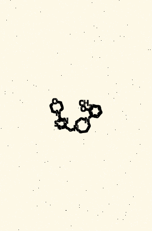 COc1ccccc1N1CCCN(Cc2csc(N3CCOCC3)n2)CC1